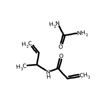 C=CC(=O)NC(C)C=C.NC(N)=O